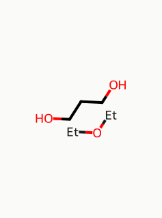 CCOCC.OCCCO